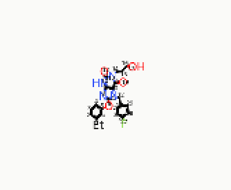 CCc1cccc(Oc2nc3[nH]c(=O)n(CCCO)c(=O)c3n2Cc2ccc(F)cc2)c1